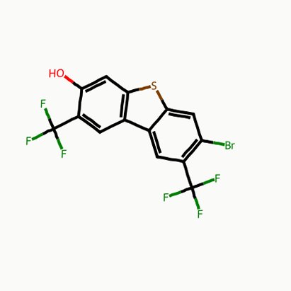 Oc1cc2sc3cc(Br)c(C(F)(F)F)cc3c2cc1C(F)(F)F